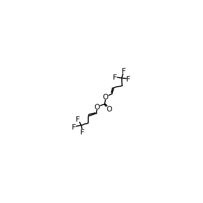 O=C(OC=CCC(F)(F)F)OC=CCC(F)(F)F